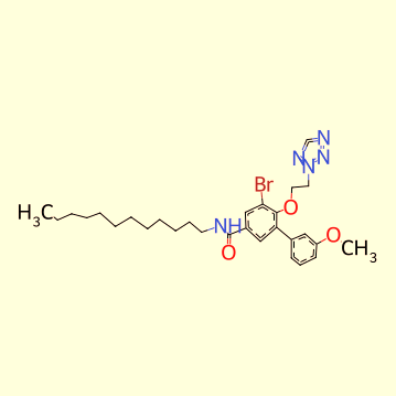 CCCCCCCCCCCCNC(=O)c1cc(Br)c(OCCn2ncnn2)c(-c2cccc(OC)c2)c1